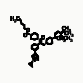 C=C(/C=C\C(OC)=C(C)C)[C@H]1CC[C@H](CN(c2cccc(-c3cnn(C4CC4)c3)c2)C(=O)[C@H]2CC[C@H](C(=O)OCCCCC)CC2)CC1